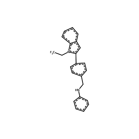 FC(F)(F)Cn1c(-c2ccc(CNc3ccccc3)cc2)cc2ccccc21